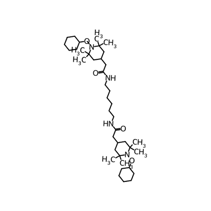 CC1(C)CC(CC(=O)NCCCCCCNC(=O)CC2CC(C)(C)N(OC3CCCCC3)C(C)(C)C2)CC(C)(C)N1OC1CCCCC1